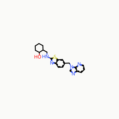 OC1CCCCC1CNc1nc2ccc(Cn3cnc4cccnc43)cc2s1